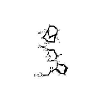 CCC[C@H](C[C@@H](C)N(C(C)=O)c1ccccc1NCC(=O)O)N(CC)[C@H]1C[C@@H]2CCC[C@@H](C2)C1